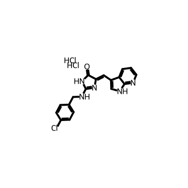 Cl.Cl.O=C1NC(NCc2ccc(Cl)cc2)=N/C1=C\c1c[nH]c2ncccc12